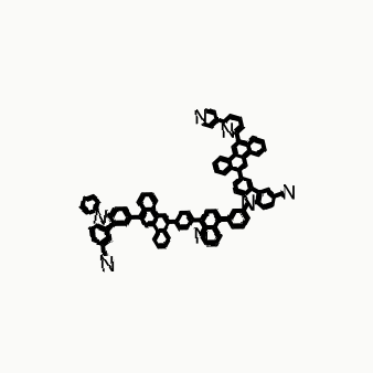 N#Cc1ccc2c(c1)c1cc(-c3cc4c5ccccc5c(-c5ccc(-c6ccc(-c7cccc(-n8c9ccc(C#N)cc9c9cc(-c%10cc%11c%12ccccc%12c(-c%12cccc(-c%13ccncc%13)n%12)cc%11c%11ccccc%10%11)ccc98)c7)c7cccnc67)cc5)cc4c4ccccc34)ccc1n2-c1ccccc1